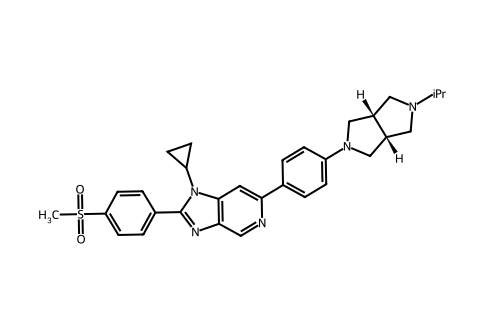 CC(C)N1C[C@H]2CN(c3ccc(-c4cc5c(cn4)nc(-c4ccc(S(C)(=O)=O)cc4)n5C4CC4)cc3)C[C@H]2C1